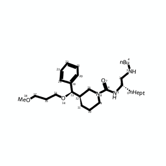 CCCCCCC[C@@H](CNCCCC)NC(=O)N1CCC[C@@H]([C@@H](OCCCOC)c2ccccc2)C1